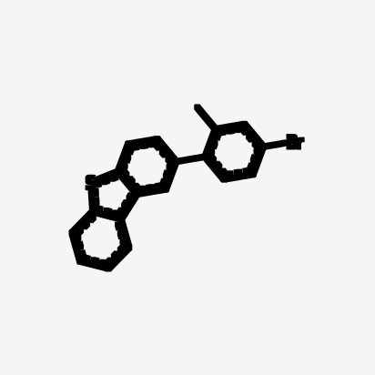 Cc1cc(Br)ccc1-c1ccc2sc3ccccc3c2c1